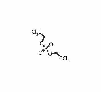 [O]P(=O)(OCC(Cl)(Cl)Cl)OCC(Cl)(Cl)Cl